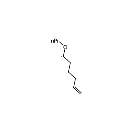 C=CCCC[CH]OCCC